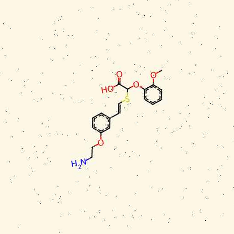 COc1ccccc1OC(SC=Cc1cccc(OCCN)c1)C(=O)O